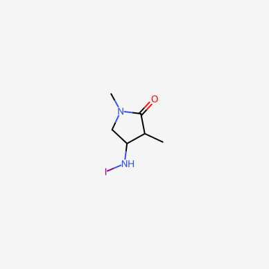 CC1C(=O)N(C)CC1NI